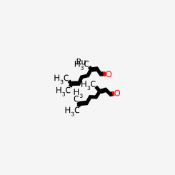 CC(C)=CCC/C(C)=C\C=O.CC(C)=CCC/C(C)=C\C=O.[Ru]